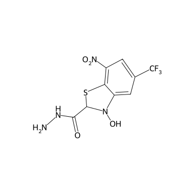 NNC(=O)C1Sc2c(cc(C(F)(F)F)cc2[N+](=O)[O-])N1O